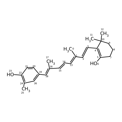 CC(/C=C/C1=C(O)CCCC1(C)C)=C\C=C\C(C)=C\c1ccc(O)c(C)c1